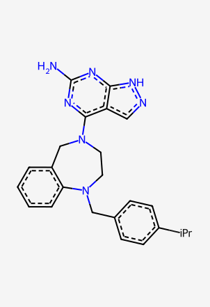 CC(C)c1ccc(CN2CCN(c3nc(N)nc4[nH]ncc34)Cc3ccccc32)cc1